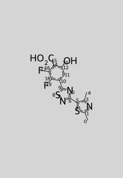 Cc1nc(C)c(-c2nsc(-c3cc(O)c(C(=O)O)c(F)c3F)n2)s1